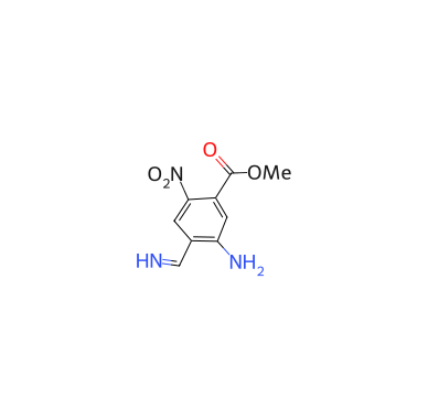 COC(=O)c1cc(N)c(C=N)cc1[N+](=O)[O-]